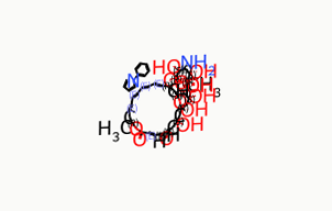 C[C@@H]1C/C=C/C=C/C=C/C=C/[C@H](O[C@@H]2O[C@H](C)[C@@H](O)[C@H](N)[C@@H]2O)C[C@@H]2O[C@](O)(C[C@@H](O)C[C@H]3O[C@@H]3/C=C/C(=O)O1)C[C@H](O)[C@H]2C(=O)O.c1ccc(-n2cccc2)cc1